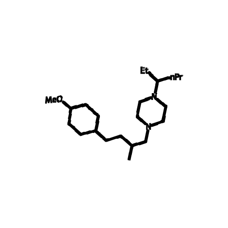 CCCC(CC)N1CCN(CC(C)CCC2CCC(OC)CC2)CC1